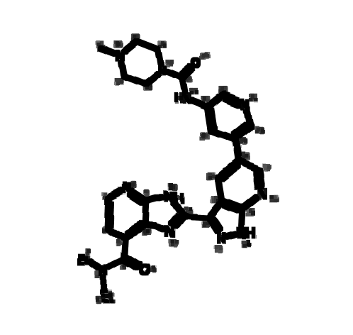 CCN(CC)C(=O)c1ccnc2[nH]c(-c3n[nH]c4ncc(-c5cncc(NC(=O)N6CCN(C)CC6)c5)cc34)nc12